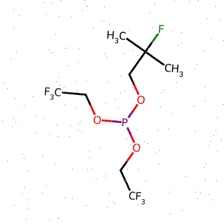 CC(C)(F)COP(OCC(F)(F)F)OCC(F)(F)F